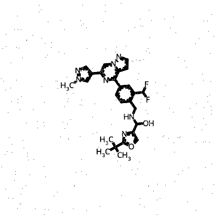 Cn1cc(-c2cn3nccc3c(-c3ccc(CNC(O)c4coc(C(C)(C)C)n4)c(C(F)F)c3)n2)cn1